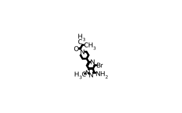 CC(C)C(=O)N1CCC(c2cc3c(c(N)nn3C)c(Br)n2)CC1